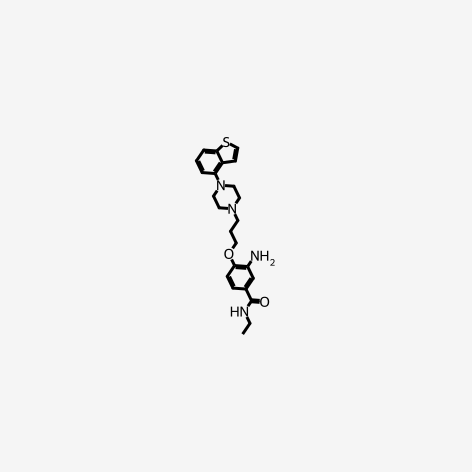 CCNC(=O)c1ccc(OCCCN2CCN(c3cccc4sccc34)CC2)c(N)c1